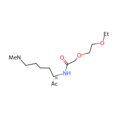 CCOCCOCC(=O)N[C@@H](CCCCNC)C(C)=O